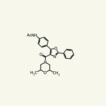 CC(=O)Nc1ccc(-c2oc(-c3ccccc3)nc2C(=O)N2CC(C)OC(C)C2)cc1